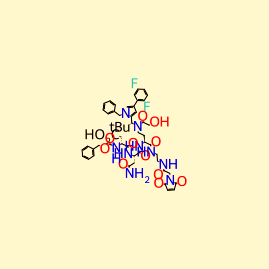 CC(C)(C)[C@H](c1cc(-c2cc(F)ccc2F)cn1Cc1ccccc1)N(CC[C@H](NC(=O)[C@H](CC(N)=O)NC(=O)[C@@H](CC(=O)O)NC(=O)OCc1ccccc1)C(=O)NCCNC(=O)CN1C(=O)C=CC1=O)C(=O)CO